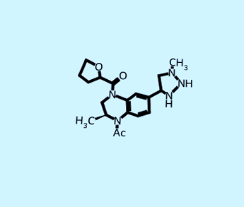 CC(=O)N1c2ccc(C3CN(C)NN3)cc2N(C(=O)C2CCCO2)C[C@@H]1C